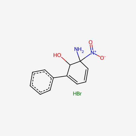 Br.NC1([N+](=O)[O-])C=CC=C(c2ccccc2)C1O